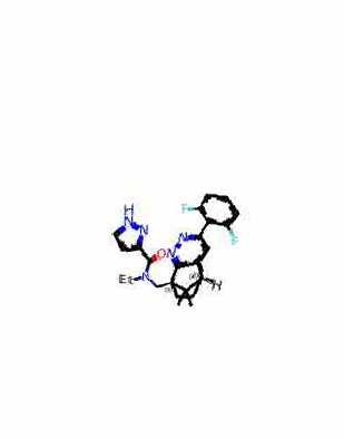 CCN(C[C@@]12CC[C@@H](c3cc(-c4c(F)cccc4F)nnc31)C2(C)C)C(=O)c1cc[nH]n1